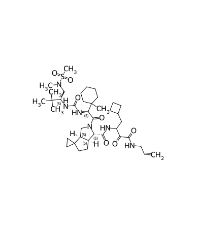 C=CCNC(=O)C(=O)C(CC1CCC1)NC(=O)[C@@H]1[C@H]2CCC3(CC3)[C@H]2CN1C(=O)[C@@H](NC(=O)N[C@H](CN(C)S(C)(=O)=O)C(C)(C)C)C1(C)CCCCC1